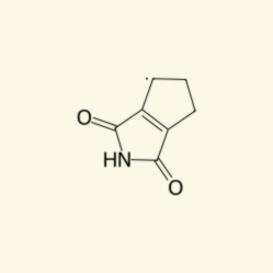 O=C1NC(=O)C2=C1[CH]CC2